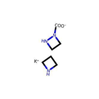 C1CNC1.O=C([O-])N1CCN1.[K+]